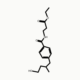 CCOC(=O)CCNC(=O)c1ccc(CC(C)CCO)cc1